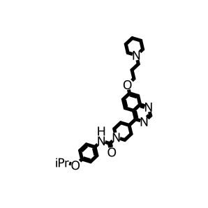 CC(C)Oc1ccc(NC(=O)N2CCC(c3ncnc4cc(OCCCN5CCCCC5)ccc34)CC2)cc1